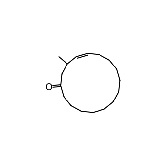 CC1C=CCCCCCCCCCCCC(=O)C1